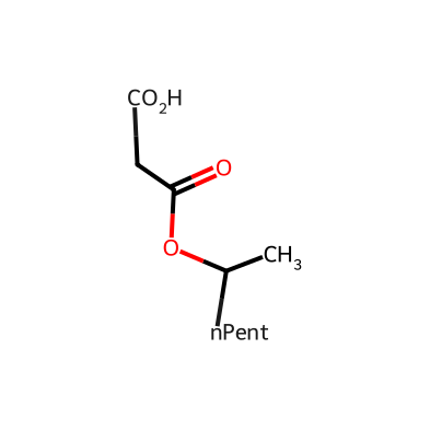 CCCCCC(C)OC(=O)CC(=O)O